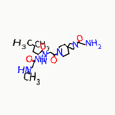 CNCC(=O)NC(CC(C)C)C(=O)NCC(=O)N1CCC2(CC1)CN(C(=O)CN)C2